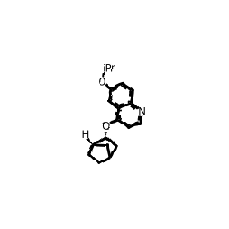 CC(C)Oc1ccc2nccc(O[C@@H]3CC4CC[C@H]3C4)c2c1